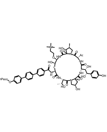 CCCCCOc1ccc(-c2ccc(-c3ccc(C(=O)N[C@H]4C[C@@H](O)[C@@H](OCC[N+](C)(C)C)NC(=O)[C@@H]5[C@@H](O)[C@@H](C)CN5C(=O)[C@H](C(C)=O)NC(=O)[C@H]([C@H](O)[C@@H](O)c5ccc(O)cc5)NC(=O)[C@@H]5C[C@@H](O)CN5C(=O)[C@H]([C@@H](C)O)NC4=O)cc3)cc2)cc1